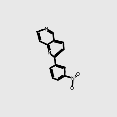 O=[N+]([O-])c1cccc(-c2ccc3cnccc3n2)c1